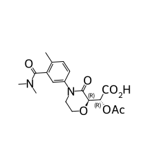 CC(=O)O[C@@H](C(=O)O)[C@H]1OCCN(c2ccc(C)c(C(=O)N(C)C)c2)C1=O